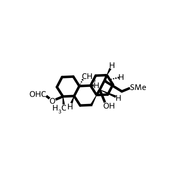 CSC[C@@H]1[C@H]2CC[C@@]3(CC[C@H]4[C@@](C)(CCC[C@@]4(C)OC=O)[C@@H]3C2)[C@H]1O